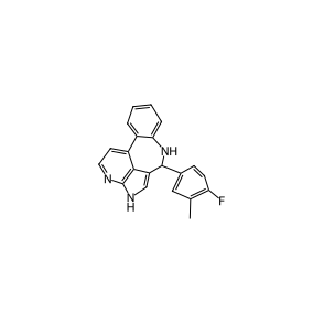 Cc1cc(C2Nc3ccccc3-c3ccnc4[nH]cc2c34)ccc1F